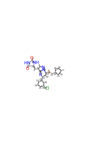 O=C1NC(=O)/C(=C/c2cnn3c(SCc4ccccc4)cc(-c4cccc(Cl)c4)nc23)N1